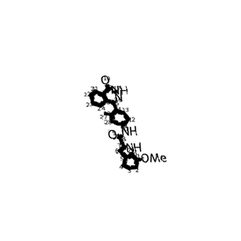 COc1cccc2cc(C(=O)Nc3ccc(-c4n[nH]c(=O)c5ccccc45)c(C)c3)[nH]c12